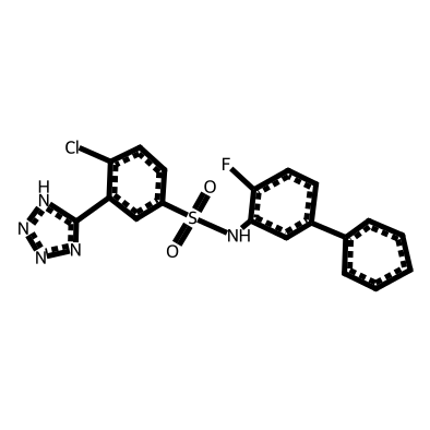 O=S(=O)(Nc1cc(-c2ccccc2)ccc1F)c1ccc(Cl)c(-c2nnn[nH]2)c1